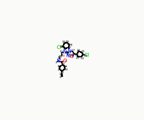 C#Cc1ccc(C(=O)N(C)CCCn2c(=N)n(CC(=O)c3ccc(Cl)cc3)c3cccc(Cl)c32)cc1